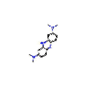 CN(C)c1ccc2nc3ccc(=[N+](C)C)cc-3[nH]c2c1